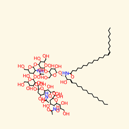 CCCCCCCC/C=C\CCCCCCCCCCCCCC(=O)N[C@@H](CO[C@@H]1OC(CO)[C@@H](O[C@@H]2OC(CO)[C@H](O)[C@H](O[C@@H]3OC(CO)[C@@H](O)[C@H](O[C@@H]4OC(CO)[C@H](O)[C@H](O[C@]5(C(=O)O)CC(O)[C@@H](NC(C)=O)C([C@H](O)[C@@H](CO)O[C@]6(C(=O)O)CC(O)[C@@H](NC(C)=O)C([C@H](O)[C@H](O)CO)O6)O5)C4O)C3NC(C)=O)C2O)[C@H](O)C1O)[C@H](O)/C=C/CCCCCCCCCCCCC